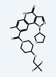 Cc1cc2[nH]c(=O)c3cnn([C@H]4CCOC4)c3c2cc1C(=O)N1CCC(OCC(C)(F)F)CC1